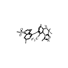 Cc1cc(-c2cc(F)cc3c2ccn3S(C)(=O)=O)c(C(F)(F)F)c2c1NC(C)(C)c1nnc(C)n1-2